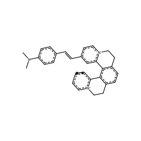 CN(C)c1ccc(/C=C/c2cc[n+]3c(c2)-c2c(ccc4c2-c2c5ccccc5cc[n+]2CC4)CC3)cc1